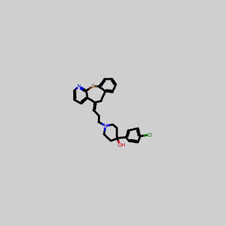 OC1(c2ccc(Cl)cc2)CCN(CCC=C2Cc3ccccc3Sc3ncccc32)CC1